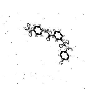 CN(c1ccc(F)cc1)S(=O)(=O)c1cccc(C(=O)Nc2ccc(S(C)(=O)=O)cc2)c1